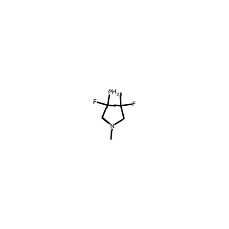 CN1CC(C)(F)C(F)(P)C1